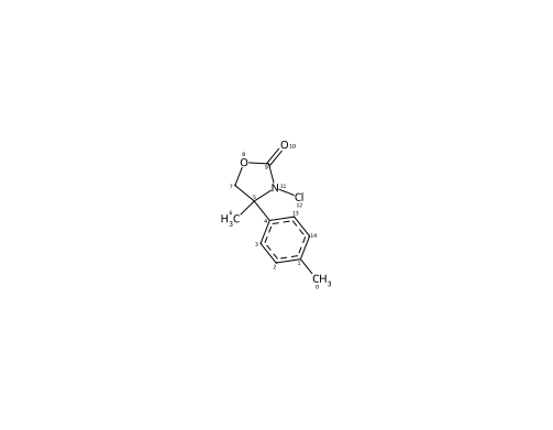 Cc1ccc(C2(C)COC(=O)N2Cl)cc1